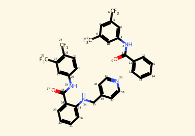 O=C(Nc1cc(C(F)(F)F)cc(C(F)(F)F)c1)c1ccccc1.O=C(Nc1ccc(C(F)(F)F)c(C(F)(F)F)c1)c1ccccc1NCc1ccncc1